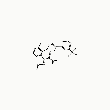 CNC(=O)/C(=N/OC)c1cccc(C)c1CO/N=C(\C)c1cncc(C(F)(F)F)c1